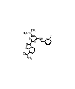 CN(C)c1nc(NCc2cccc(F)c2)nc(C2=NSC3C(C(N)=O)=CC=CC23)n1